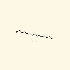 CCCCCCCCCCCCCCCC(O)=S.[NaH]